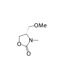 COC[C@H]1COC(=O)N1C